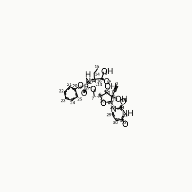 C#C[C@@]1(O)[C@H](O)[C@@H](COP(=O)(N[C@@](C)(CC)C(=O)O)Oc2ccccc2)O[C@H]1n1ccc(=O)[nH]c1=O